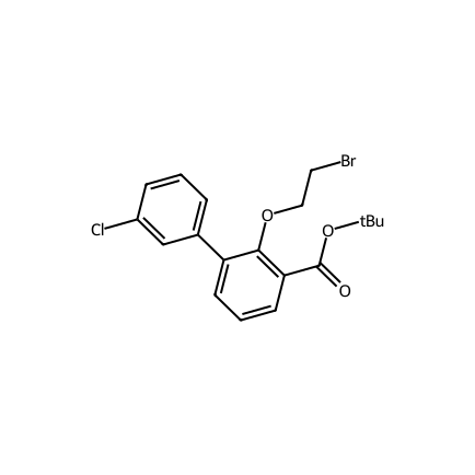 CC(C)(C)OC(=O)c1cccc(-c2cccc(Cl)c2)c1OCCBr